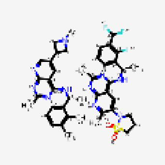 CC(=O)N1CC(c2cnc3nc(C)nc(N[C@H](C)c4cccc(C(F)(F)F)c4C)c3c2)C1.Cc1nc(N[C@H](C)c2cccc(C(F)F)c2F)c2cc(N3CCCS3(=O)=O)c(C)nc2n1